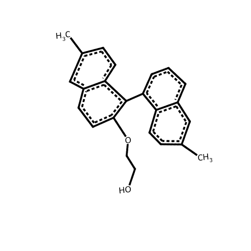 Cc1ccc2c(-c3c(OCCO)ccc4cc(C)ccc34)cccc2c1